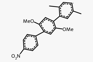 COc1cc(-c2cc(C)[c]cc2C)c(OC)cc1-c1ccc([N+](=O)[O-])cc1